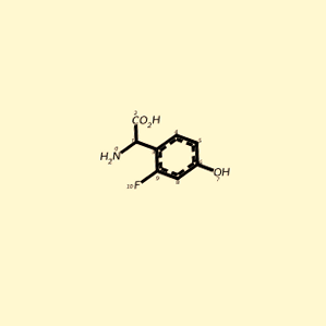 NC(C(=O)O)c1ccc(O)cc1F